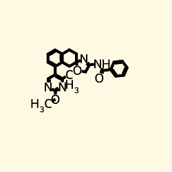 COc1ncc(-c2cccc3c2CC2(CC3)N=C(NC(=O)c3ccccc3)CO2)c(C)n1